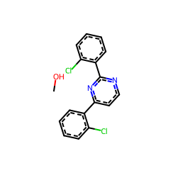 CO.Clc1ccccc1-c1ccnc(-c2ccccc2Cl)n1